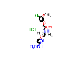 COc1cc(OCC(O)CNC(C)(C)COc2ccc(NN)nn2)ccc1Cl.Cl